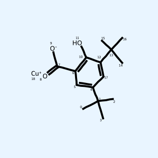 CC(C)(C)c1cc(C(=O)[O-])c(O)c(C(C)(C)C)c1.[Cu+]